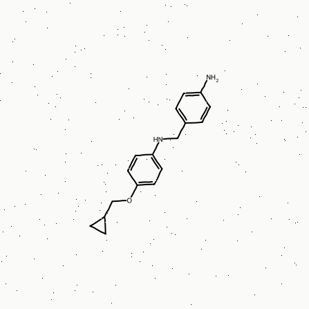 Nc1ccc(CNc2ccc(OCC3CC3)cc2)cc1